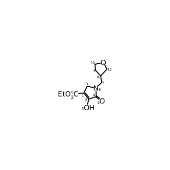 CCOC(=O)C1=C(O)C(=O)N(CC2CCOC2)C1